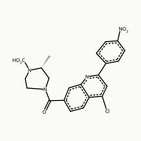 C[C@@H]1CN(C(=O)c2ccc3c(Cl)cc(-c4ccc([N+](=O)[O-])cc4)nc3c2)CCN1C(=O)O